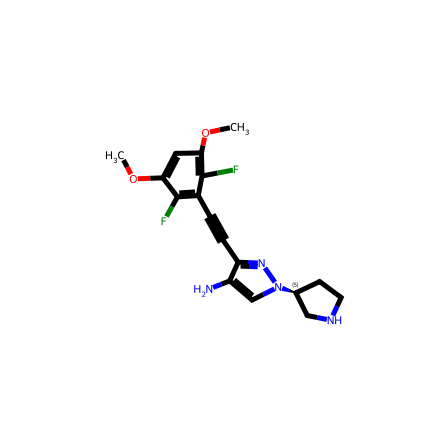 COc1cc(OC)c(F)c(C#Cc2nn([C@H]3CCNC3)cc2N)c1F